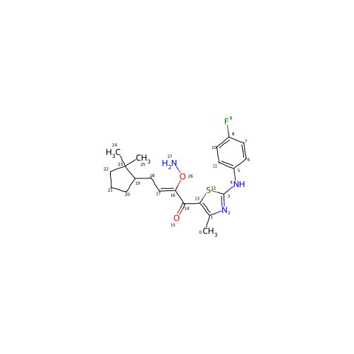 Cc1nc(Nc2ccc(F)cc2)sc1C(=O)/C(=C/CC1CCCC1(C)C)ON